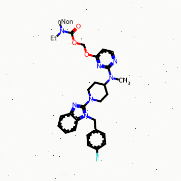 CCCCCCCCCN(CC)C(=O)OCOc1ccnc(N(C)C2CCN(c3nc4ccccc4n3Cc3ccc(F)cc3)CC2)n1